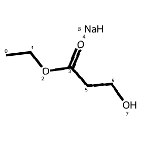 CCOC(=O)CCO.[NaH]